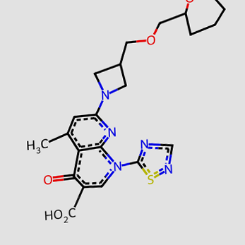 Cc1cc(N2CC(COCC3CCCCO3)C2)nc2c1c(=O)c(C(=O)O)cn2-c1ncns1